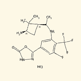 CC(Nc1cc(-c2n[nH]c(=O)o2)cc(F)c1C(F)(F)F)[C@H]1C[C@@H](N)C1(C)C.Cl